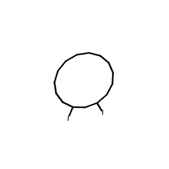 IC1CCCCCCCCCCCCC(I)C1